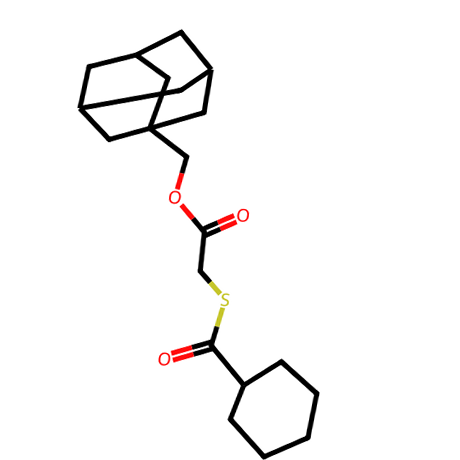 O=C(CSC(=O)C1CCCCC1)OCC12CC3CC(CC(C3)C1)C2